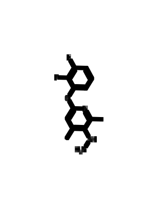 Cc1cc(Oc2cccc(F)c2F)nc(C)c1NN